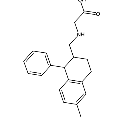 Cc1ccc2c(c1)CCC(CNCC(=O)O)C2c1ccccc1